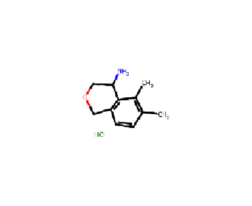 Cc1ccc2c(c1C)C(N)COC2.Cl